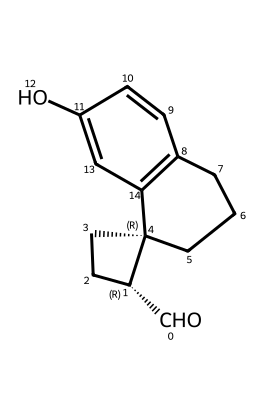 O=C[C@@H]1CC[C@]12CCCc1ccc(O)cc12